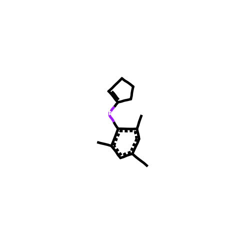 Cc1cc(C)c([I+]C2=CCCC2)c(C)c1